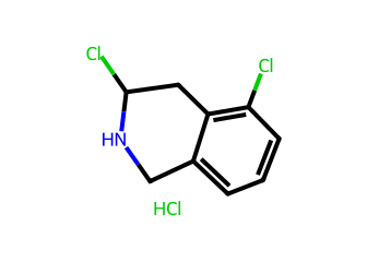 Cl.Clc1cccc2c1CC(Cl)NC2